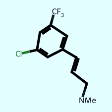 CNCC=Cc1cc(Cl)cc(C(F)(F)F)c1